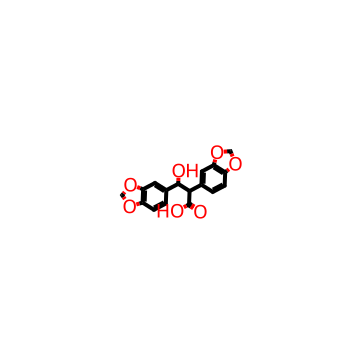 O=C(O)C(c1ccc2c(c1)OCO2)C(O)c1ccc2c(c1)OCO2